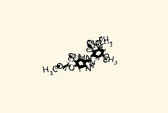 COCCOc1cc2ncnc(Nc3cc(OC)cc(OC)c3OC)c2cc1OC